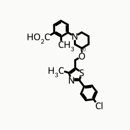 Cc1nc(-c2ccc(Cl)cc2)sc1CO[C@@H]1CCCN(c2cccc(C(=O)O)c2C)C1